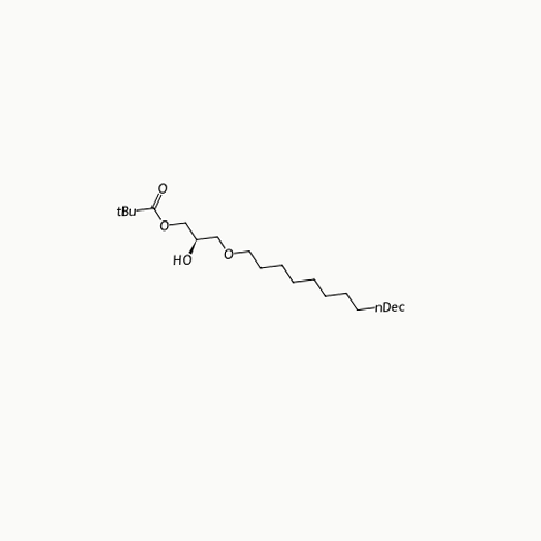 CCCCCCCCCCCCCCCCCCOC[C@@H](O)COC(=O)C(C)(C)C